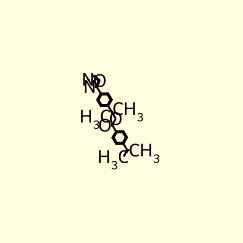 CC(C)c1ccc(C(=O)OC(C)(C)c2ccc(-c3nnco3)cc2)cc1